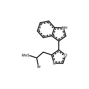 CSC(Br)Cc1ncoc1-c1c[nH]c2ccccc12